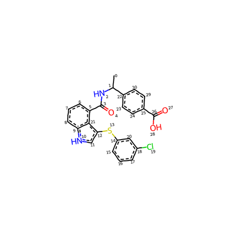 CC(NC(=O)c1cccc2[nH]cc(Sc3cccc(Cl)c3)c12)c1ccc(C(=O)O)cc1